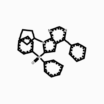 O=P(c1ccccc1)(c1ccccc1)c1cc2c(-c3ccccc3)ncnc2n1C1CCCC1